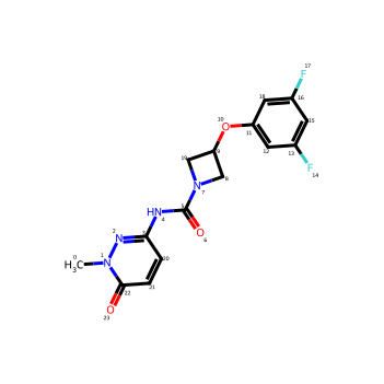 Cn1nc(NC(=O)N2CC(Oc3cc(F)cc(F)c3)C2)ccc1=O